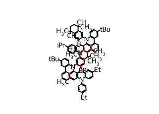 CCc1ccc(N2c3ccc(CC)cc3B3c4cc5c(cc4N(c4ccc(C(C)(C)C)cc4-c4ccccc4)c4cc(C)cc2c43)C(C)(C)CC(c2cccc(-c3cc(C(C)(C)C)ccc3N3c4cc6c(cc4B4c7cc(C(C)C)ccc7N(c7ccc(C(C)C)cc7)c7cc(C)cc3c74)C(C)(C)CCC6(C)C)c2)C5(C)C)cc1